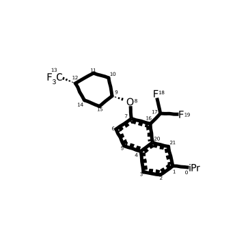 CC(C)c1ccc2ccc(O[C@H]3CC[C@@H](C(F)(F)F)CC3)c(C(F)F)c2c1